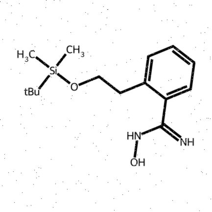 CC(C)(C)[Si](C)(C)OCCc1ccccc1C(=N)NO